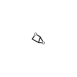 C1O[C]2OC12